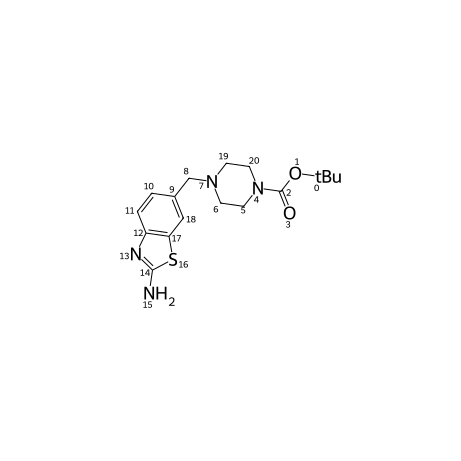 CC(C)(C)OC(=O)N1CCN(Cc2ccc3nc(N)sc3c2)CC1